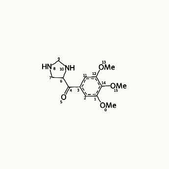 COc1cc(C(=O)C2CNCN2)cc(OC)c1OC